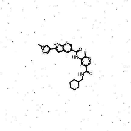 Cc1ncc(C(=O)NCC2CCCCC2)cc1NC(=O)c1cnc2[nH]c(-c3cnn(C)c3)cc2c1